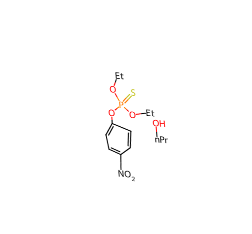 CCOP(=S)(OCC)Oc1ccc([N+](=O)[O-])cc1.[CH2]CCO